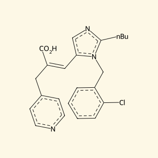 CCCCc1ncc(C=C(Cc2ccncc2)C(=O)O)n1Cc1ccccc1Cl